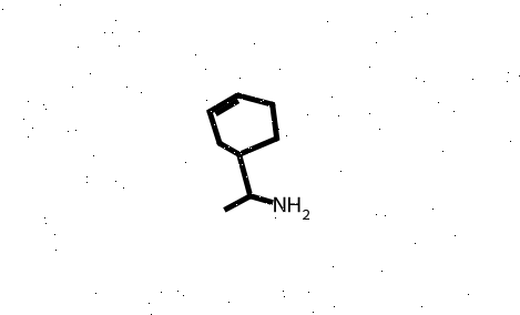 CC(N)C1CC=CCC1